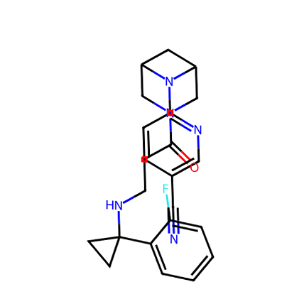 N#Cc1ccc(N2C3CC2CN(C(=O)CCNC2(c4ccccc4F)CC2)C3)nc1